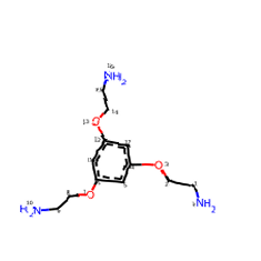 NCCOc1cc(OCCN)cc(OCCN)c1